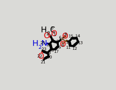 COC(=O)c1c(CS(=O)(=O)c2ccccc2)ccc(-c2ccoc2)c1N